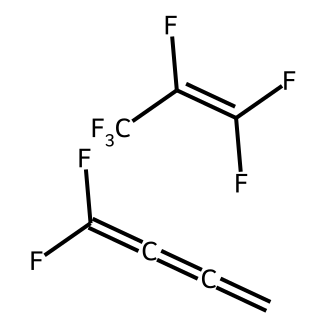 C=C=C=C(F)F.FC(F)=C(F)C(F)(F)F